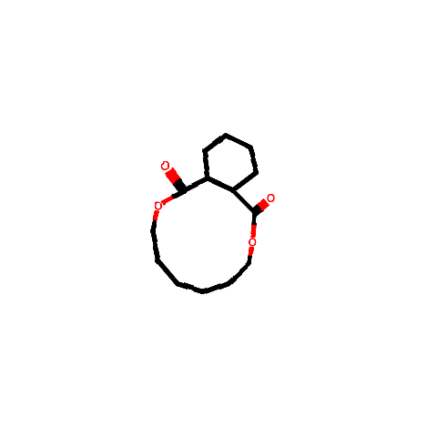 O=C1OCCCCCCOC(=O)C2CCCCC12